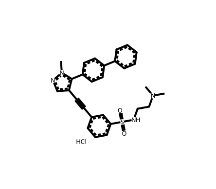 CN(C)CCNS(=O)(=O)c1cccc(C#Cc2cnn(C)c2-c2ccc(-c3ccccc3)cc2)c1.Cl